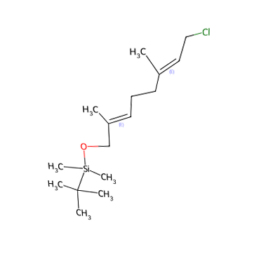 C/C(=C\CCl)CC/C=C(\C)CO[Si](C)(C)C(C)(C)C